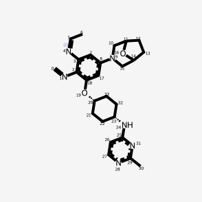 C=Nc1c(/N=C\C)cc(N2CC3CCC(C2)O3)cc1O[C@H]1CC[C@@H](Nc2ccnc(C)n2)CC1